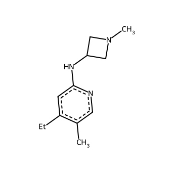 CCc1cc(NC2CN(C)C2)ncc1C